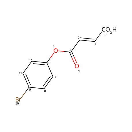 O=C(O)/C=C/C(=O)Oc1ccc(Br)cc1